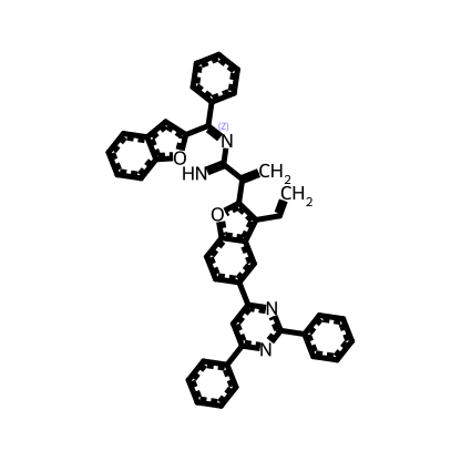 C=Cc1c(C(=C)C(=N)/N=C(/c2ccccc2)c2cc3ccccc3o2)oc2ccc(-c3cc(-c4ccccc4)nc(-c4ccccc4)n3)cc12